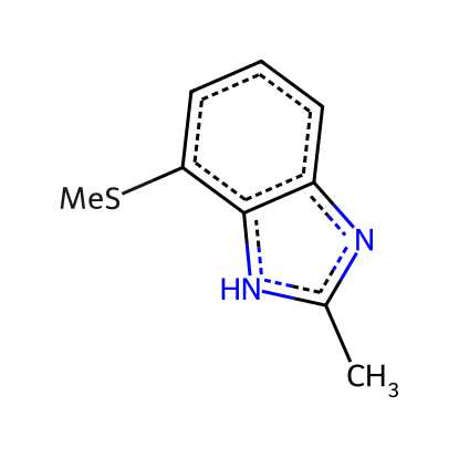 CSc1cccc2nc(C)[nH]c12